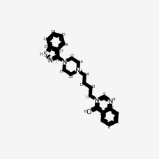 O=c1c2ccccc2ncn1CCCCN1CCN(c2nsc3ccccc23)CC1